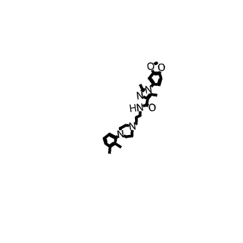 Cc1cccc(N2CCN(CCCNC(=O)c3nc(C)n(-c4ccc5c(c4)OCO5)c3C)CC2)c1C